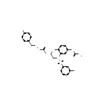 Cc1ccc(CONC(=O)C[C@H]2CN(S(=O)(=O)c3cccc(C(F)(F)F)c3)c3cc(NC(=O)OC(C)(C)C)ccc3O2)cc1